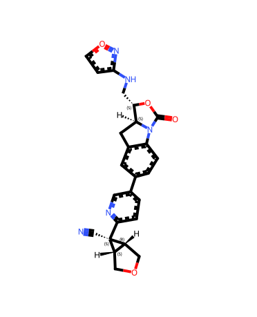 N#C[C@]1(c2ccc(-c3ccc4c(c3)C[C@H]3[C@H](CNc5ccon5)OC(=O)N43)cn2)[C@@H]2COC[C@@H]21